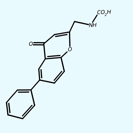 O=C(O)NCc1cc(=O)c2cc(-c3ccccc3)ccc2o1